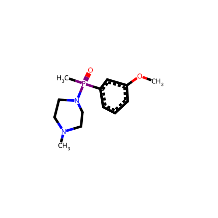 COc1cccc(P(C)(=O)N2CCN(C)CC2)c1